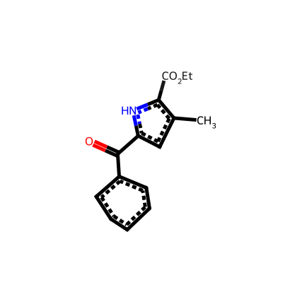 CCOC(=O)c1[nH]c(C(=O)c2ccccc2)cc1C